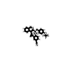 N#Cc1ccc(S(=O)(=O)N(Cc2ccc(OC(F)(F)F)cc2)c2ncc3ccccc3c2C2CC2)cc1